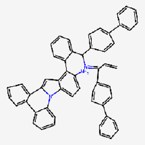 C=C/C(=N\C(c1ccc(-c2ccccc2)cc1)c1ccccc1-c1c(N)ccc2c1cc1c3ccccc3c3ccccc3n21)c1ccc(-c2ccccc2)cc1